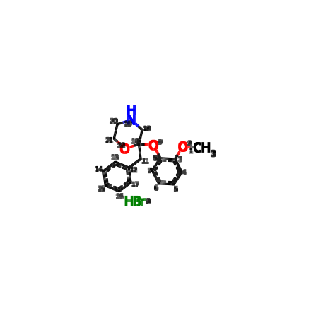 Br.COc1ccccc1OC1(Cc2ccccc2)CNCCO1